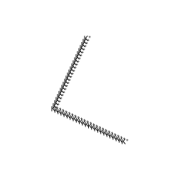 [K+].[K+].[K+].[K+].[K+].[K+].[K+].[K+].[K+].[K+].[K+].[K+].[K+].[K+].[K+].[K+].[K+].[K+].[K+].[K+].[K+].[K+].[K+].[K+].[K+].[K+].[K+].[K+].[K+].[K+].[K+].[K+].[K+].[K+].[K+].[K+].[K+].[K+].[K+].[K+].[K+].[K+].[K+].[K+].[K+].[K+].[K+]